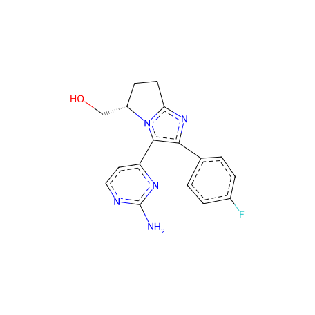 Nc1nccc(-c2c(-c3ccc(F)cc3)nc3n2[C@H](CO)CC3)n1